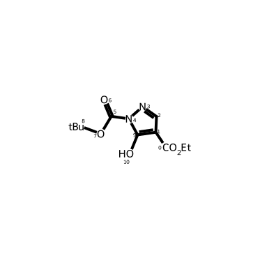 CCOC(=O)c1cnn(C(=O)OC(C)(C)C)c1O